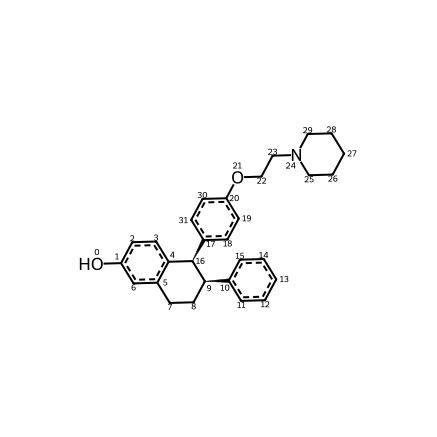 Oc1ccc2c(c1)CC[C@H](c1ccccc1)[C@@H]2c1ccc(OCCN2CCCCC2)cc1